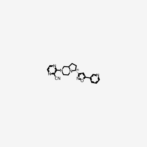 N#Cc1nccnc1N1CCN2C(CC[C@@H]2c2cc(-c3cccnc3)on2)C1